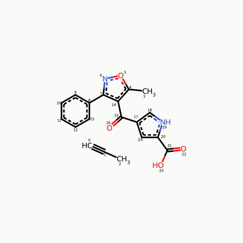 C#CC.Cc1onc(-c2ccccc2)c1C(=O)c1c[nH]c(C(=O)O)c1